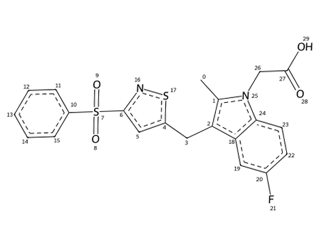 Cc1c(Cc2cc(S(=O)(=O)c3ccccc3)ns2)c2cc(F)ccc2n1CC(=O)O